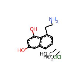 CC(=O)O.CC(=O)O.Cl.NCCc1cccc2cc(O)cc(O)c12